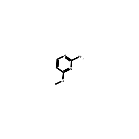 COc1ccnc(P)n1